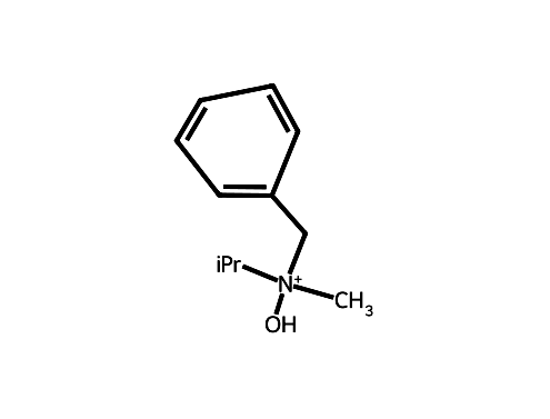 CC(C)[N+](C)(O)Cc1ccccc1